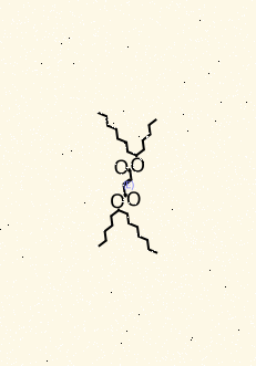 CCCCCCCC(CCCCC)OC(=O)/C=C/C(=O)OC(CCCCC)CCCCCCC